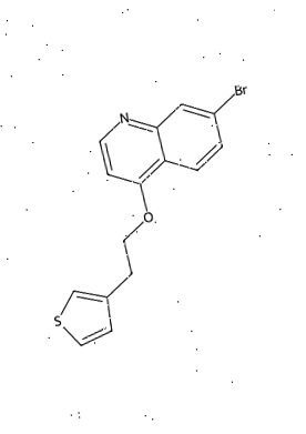 Brc1ccc2c(OCCc3ccsc3)ccnc2c1